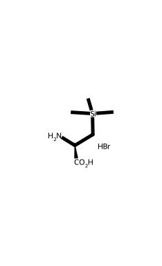 Br.C[Si](C)(C)C[C@H](N)C(=O)O